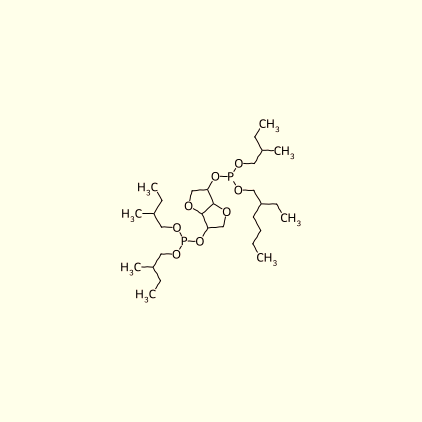 CCCCC(CC)COP(OCC(C)CC)OC1COC2C(OP(OCC(C)CC)OCC(C)CC)COC12